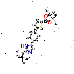 C[C@H](c1ncc(-c2ccc(-c3ccc(B4OC(C)(C)C(C)(C)O4)s3)cc2)[nH]1)C(C)(C)C